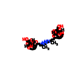 C=C(CCC1O[C@@H]2OC3C(CO)O[C@H](OCCCCC1[C@H](O)C2O)C(O)[C@H]3O)NCNCNC(=C)CCC1O[C@@H]2OC3C(CO)O[C@H](OCCCCC1[C@H](O)C2O)C(O)[C@H]3O